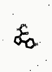 CNC(=O)N1CCCC1C1CCNCC1